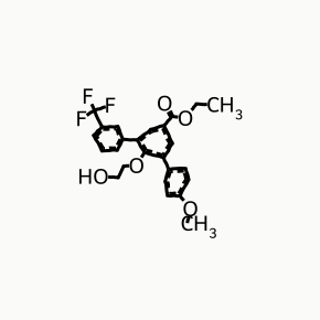 CCOC(=O)c1cc(-c2ccc(OC)cc2)c(OCCO)c(-c2cccc(C(F)(F)F)c2)c1